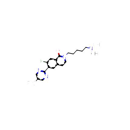 CN(C)CCCCCn1ccc2cc(-c3ncc(C(F)(F)F)cn3)c(F)cc2c1=O